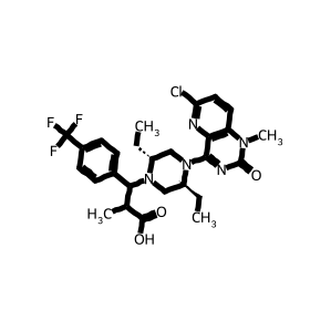 CC[C@H]1CN(C(c2ccc(C(F)(F)F)cc2)C(C)C(=O)O)[C@H](CC)CN1c1nc(=O)n(C)c2ccc(Cl)nc12